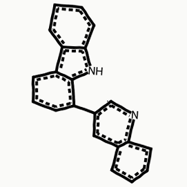 [c]1nc2ccccc2cc1-c1cccc2c1[nH]c1ccccc12